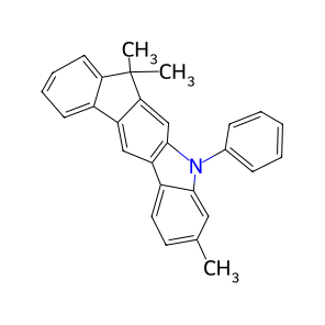 Cc1ccc2c3cc4c(cc3n(-c3ccccc3)c2c1)C(C)(C)c1ccccc1-4